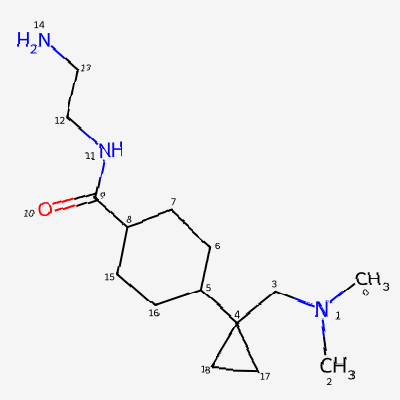 CN(C)CC1(C2CCC(C(=O)NCCN)CC2)CC1